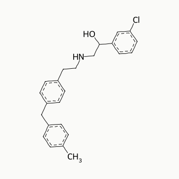 Cc1ccc(Cc2ccc(CCNCC(O)c3cccc(Cl)c3)cc2)cc1